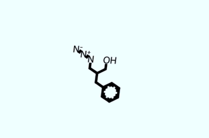 [N-]=[N+]=NCC(CO)Cc1ccccc1